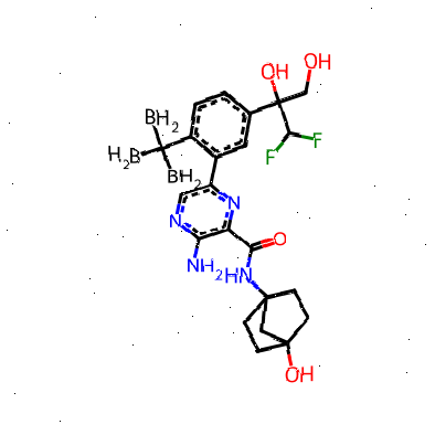 BC(B)(B)c1ccc(C(O)(CO)C(F)F)cc1-c1cnc(N)c(C(=O)NC23CCC(O)(CC2)C3)n1